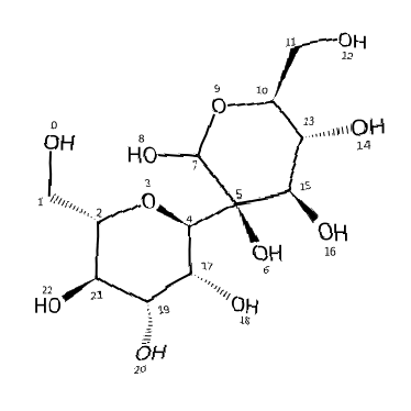 OC[C@@H]1O[C@@H]([C@]2(O)C(O)O[C@@H](CO)[C@H](O)[C@H]2O)[C@H](O)[C@H](O)[C@H]1O